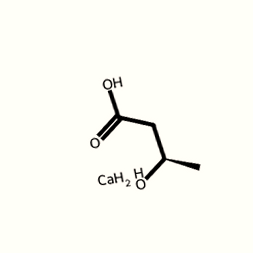 C[C@@H](O)CC(=O)O.[CaH2]